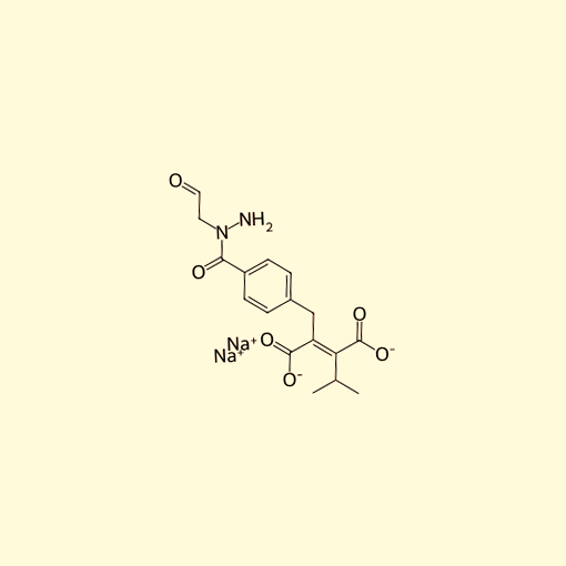 CC(C)C(C(=O)[O-])=C(Cc1ccc(C(=O)N(N)CC=O)cc1)C(=O)[O-].[Na+].[Na+]